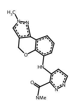 CNC(=O)c1nnccc1Nc1cccc2c1OCc1cn(C)nc1-2